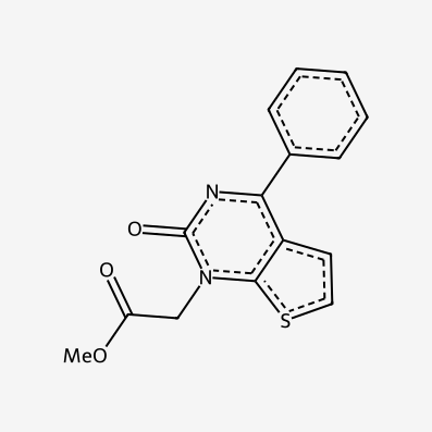 COC(=O)Cn1c(=O)nc(-c2ccccc2)c2ccsc21